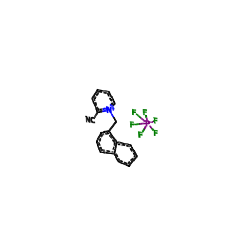 F[P-](F)(F)(F)(F)F.N#Cc1cccc[n+]1Cc1cccc2ccccc12